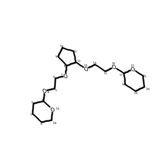 C1CCC(OCCOC2CCCC2OCCOC2CCCCO2)OC1